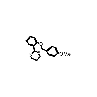 COc1ccc(COc2ccccc2C2SCCCS2)cc1